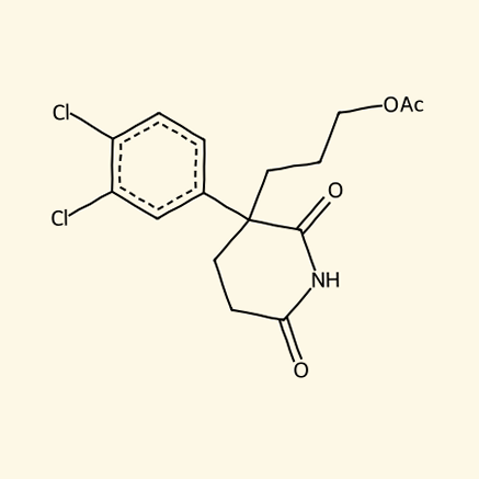 CC(=O)OCCCC1(c2ccc(Cl)c(Cl)c2)CCC(=O)NC1=O